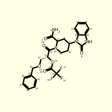 NC(=O)C1CC(n2c(=O)[nH]c3ccccc32)CCN1C(=O)[C@@H](COCc1ccccc1)OC(=O)C(F)(F)F